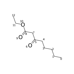 CCCCCC(=O)CC(=O)OCC